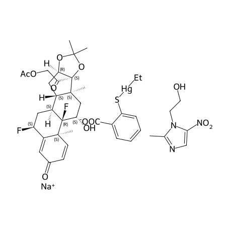 CC(=O)OCC(=O)[C@@]12OC(C)(C)O[C@@H]1C[C@H]1[C@@H]3C[C@H](F)C4=CC(=O)C=C[C@]4(C)[C@@]3(F)[C@@H](O)C[C@@]12C.C[CH2][Hg][S]c1ccccc1C(=O)[O-].Cc1ncc([N+](=O)[O-])n1CCO.[Na+]